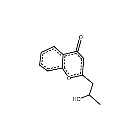 CC(O)Cc1cc(=O)c2ccccc2o1